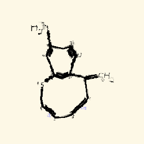 C=C1/C=C\C=C/Sc2cc(N)ccc21